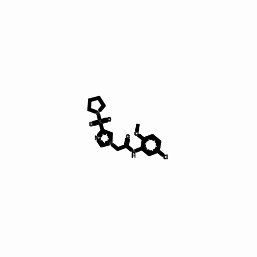 COc1ccc(Cl)cc1NC(=O)Cn1cnc(S(=O)(=O)N2CCCC2)c1